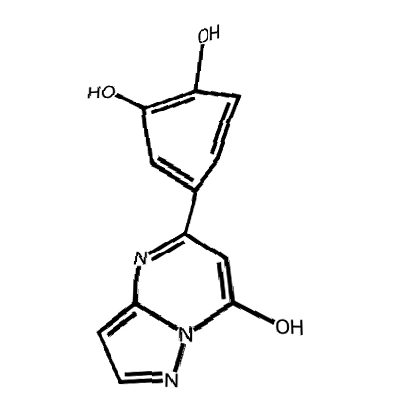 Oc1ccc(-c2cc(O)n3nccc3n2)cc1O